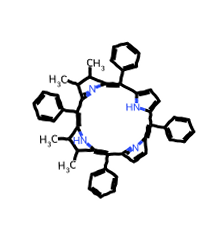 CC1c2nc(c(-c3ccccc3)c3ccc([nH]3)c(-c3ccccc3)c3nc(c(-c4ccccc4)c4[nH]c(c2-c2ccccc2)C(C)C4C)C=C3)C1C